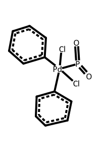 O=[P](=O)[Pd]([Cl])([Cl])([c]1ccccc1)[c]1ccccc1